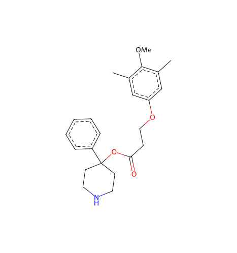 COc1c(C)cc(OCCC(=O)OC2(c3ccccc3)CCNCC2)cc1C